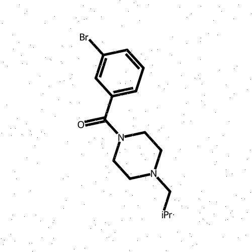 C[C](C)CN1CCN(C(=O)c2cccc(Br)c2)CC1